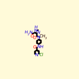 CN(C(=O)c1nc[nH]c1C(N)=O)c1ccc(NC(=O)c2ccnc(Cl)c2)cc1